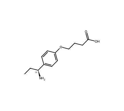 CC[C@H](N)c1ccc(OCCCC(=O)O)cc1